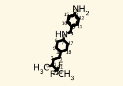 CC(CCC1CCC(NCc2ccc(N)cc2)CC1)C(C)(F)F